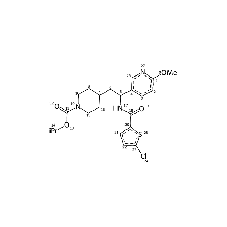 COc1ccc(C(CC2CCN(C(=O)OC(C)C)CC2)NC(=O)c2ccc(Cl)s2)cn1